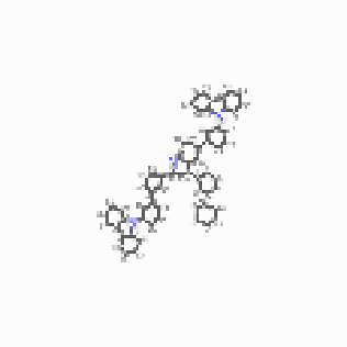 c1ccc(-c2cccc(-c3cc(-c4cccc(-c5cccc(-n6c7ccccc7c7ccccc76)c5)c4)nc4ccc(-c5cccc(-n6c7ccccc7c7ccccc76)c5)cc34)c2)cc1